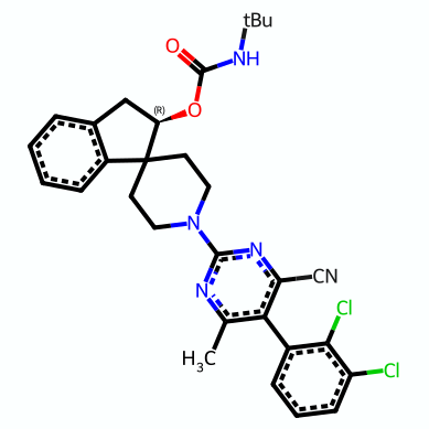 Cc1nc(N2CCC3(CC2)c2ccccc2C[C@H]3OC(=O)NC(C)(C)C)nc(C#N)c1-c1cccc(Cl)c1Cl